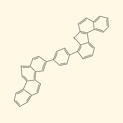 c1ccc2c(c1)ccc1c3cc(-c4ccc(-c5cccc6c5sc5ccc7ccccc7c56)cc4)ccc3ccc21